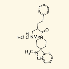 CNCC(CCc1ccccc1)C(=O)N1CCC(c2ccccc2)(N(C)C)CC1.Cl.Cl